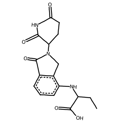 CCC(Nc1cccc2c1CN(C1CCC(=O)NC1=O)C2=O)C(=O)O